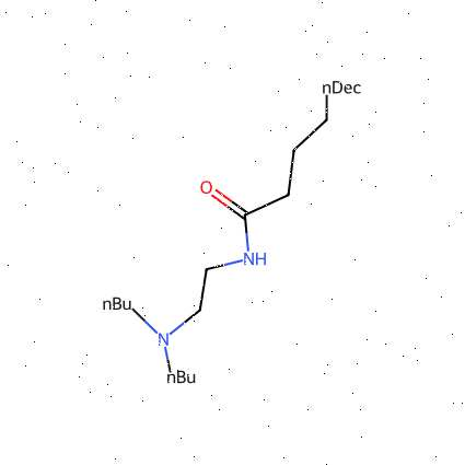 CCCCCCCCCCCCCC(=O)NCCN(CCCC)CCCC